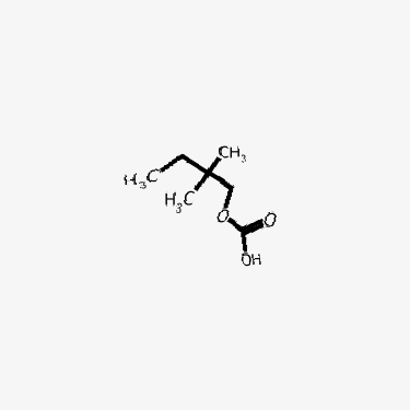 CCC(C)(C)COC(=O)O